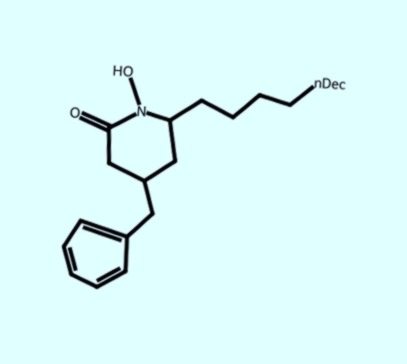 CCCCCCCCCCCCCCC1CC(Cc2ccccc2)CC(=O)N1O